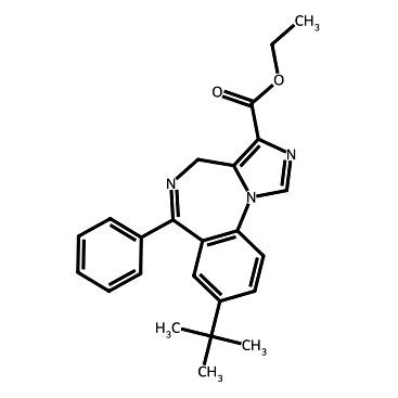 CCOC(=O)c1ncn2c1CN=C(c1ccccc1)c1cc(C(C)(C)C)ccc1-2